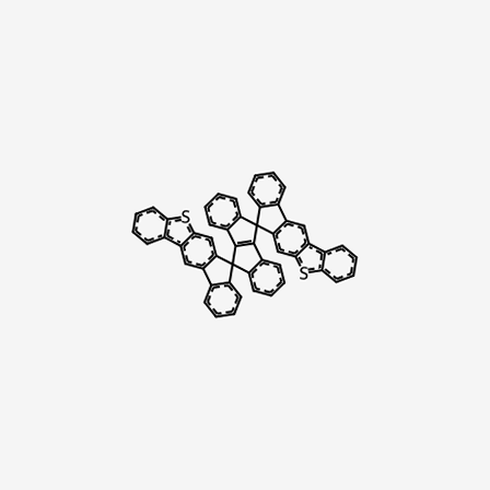 c1ccc2c(c1)C1=C(c3ccccc3C13c1ccccc1-c1cc4c(cc13)sc1ccccc14)C21c2ccccc2-c2cc3c(cc21)sc1ccccc13